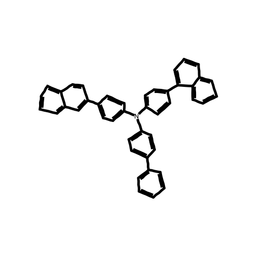 c1ccc(-c2ccc(N(c3ccc(-c4ccc5ccccc5c4)cc3)c3ccc(-c4cccc5ccccc45)cc3)cc2)cc1